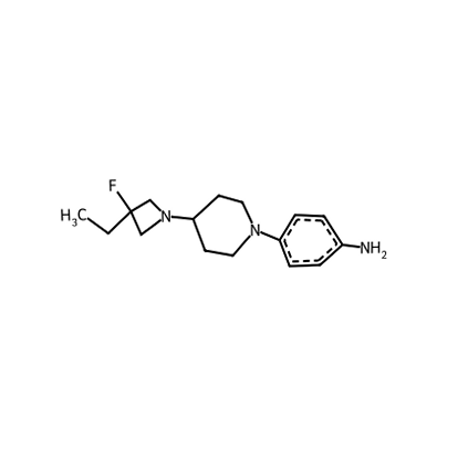 CCC1(F)CN(C2CCN(c3ccc(N)cc3)CC2)C1